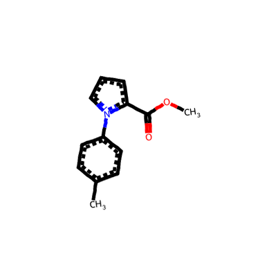 COC(=O)c1cccn1-c1ccc(C)cc1